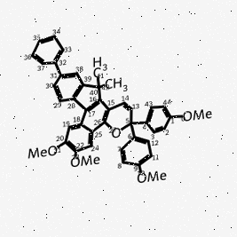 COc1ccc(C2(c3ccc(OC)cc3)C=Cc3c4c(c5cc(OC)c(OC)cc5c3O2)-c2ccc(-c3ccccc3)cc2C4(C)C)cc1